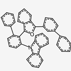 c1ccc(-c2cccc(-c3oc(-c4c(-c5ccccc5)cccc4-n4c5ccccc5c5ccccc54)c4ccccc34)c2)cc1